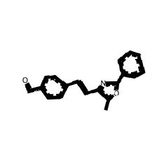 Cc1oc(-c2ccccc2)nc1C=Cc1ccc(C=O)cc1